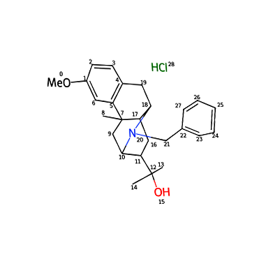 COc1ccc2c(c1)C1(C)CC3C(C(C)(C)O)CC1C(C2)N3Cc1ccccc1.Cl